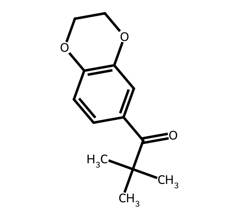 CC(C)(C)C(=O)c1ccc2c(c1)OCCO2